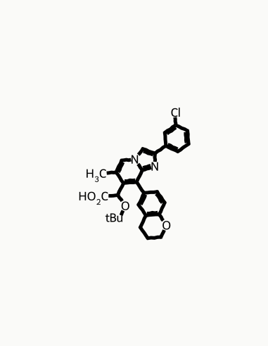 Cc1cn2cc(-c3cccc(Cl)c3)nc2c(-c2ccc3c(c2)CCCO3)c1C(OC(C)(C)C)C(=O)O